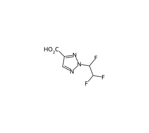 O=C(O)c1cnn(C(F)C(F)F)n1